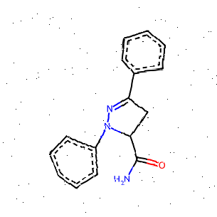 NC(=O)C1CC(c2ccccc2)=NN1c1ccccc1